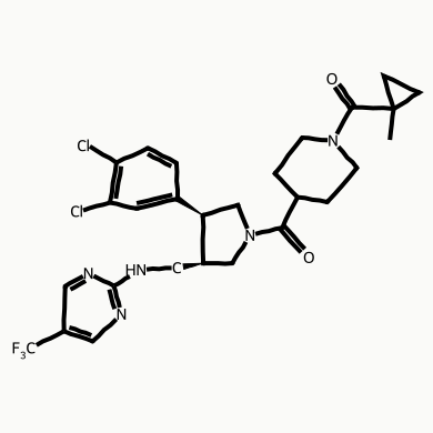 CC1(C(=O)N2CCC(C(=O)N3C[C@@H](CNc4ncc(C(F)(F)F)cn4)[C@@H](c4ccc(Cl)c(Cl)c4)C3)CC2)CC1